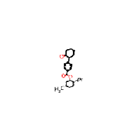 CC(C)[C@H]1CC[C@H](C)C[C@@H]1OC(=O)c1ccc(C2CCCCC2=O)cc1